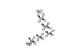 [Nb+5].[Nb+5].[O]=[Mo](=[O])([O-])[O-].[O]=[Mo](=[O])([O-])[O-].[O]=[Mo](=[O])([O-])[O-].[O]=[Mo](=[O])([O-])[O-].[O]=[Mo](=[O])([O-])[O-]